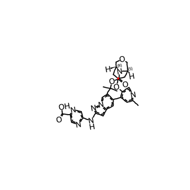 Cc1cc(-c2ccn3nc(Nc4cnc(C(=O)O)cn4)cc3c2)c(OC2C[C@H]3COC[C@@H](C2)N3C(=O)OC(C)(C)C)cn1